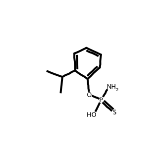 CC(C)c1ccccc1OP(N)(O)=S